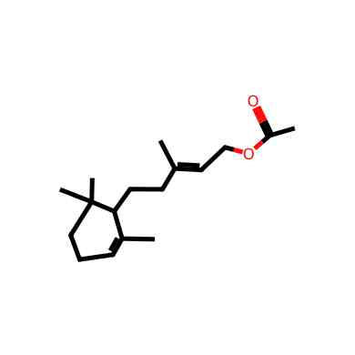 CC(=O)OC/C=C(\C)CCC1C(C)=CCCC1(C)C